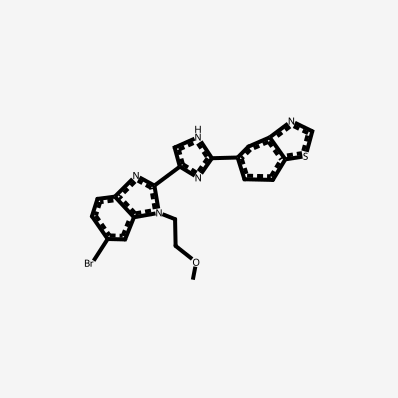 COCCn1c(-c2c[nH]c(-c3ccc4scnc4c3)n2)nc2ccc(Br)cc21